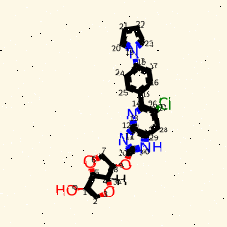 O[C@@H]1CO[C@H]2C1OC[C@H]2Oc1nc2nc(-c3ccc(-n4cccc4)cc3)c(Cl)cc2[nH]1